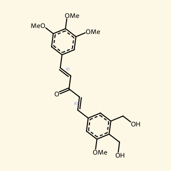 COc1cc(/C=C/C(=O)/C=C/c2cc(OC)c(OC)c(OC)c2)cc(CO)c1CO